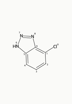 Clc1cccc2[nH]nnc12